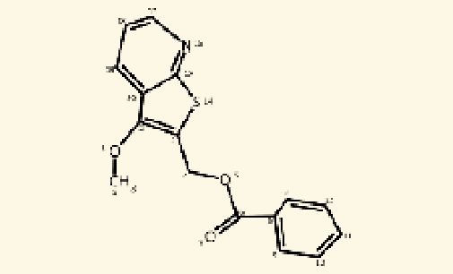 COc1c(COC(=O)c2ccccc2)sc2ncccc12